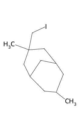 CC1CC2CC(C1)CC(C)(CI)C2